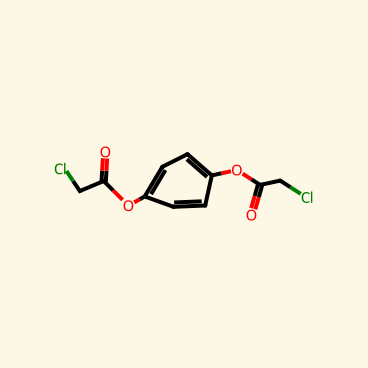 O=C(CCl)Oc1ccc(OC(=O)CCl)cc1